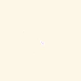 O=C(O)c1ccccc1CNC(=O)c1ccccc1C(=O)O